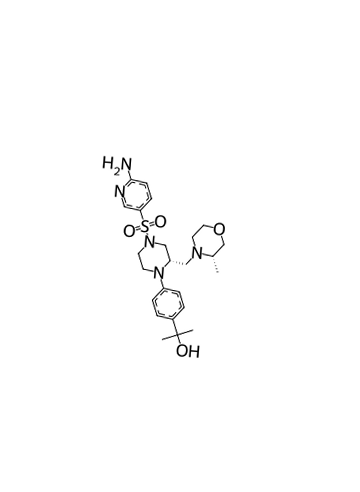 C[C@H]1COCCN1C[C@H]1CN(S(=O)(=O)c2ccc(N)nc2)CCN1c1ccc(C(C)(C)O)cc1